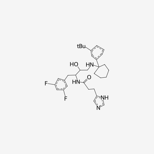 CC(C)(C)c1cccc(C2(NCC(O)C(Cc3cc(F)cc(F)c3)NC(=O)CCc3cnc[nH]3)CCCCC2)c1